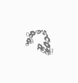 CCC1(CC)C(=O)N(c2cccc(F)c2O)[C@H]1c1ccc(N2CCC(CN3CCN(CC4CCN(c5ccc6c(c5)CN([C@H]5CCC(=O)NC5=O)C6=O)CC4)CC3)CC2)cc1